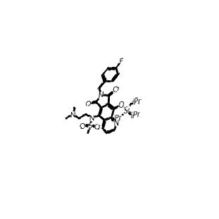 CC(C)[Si](Oc1c2c(c(N(CCN(C)C)S(C)(=O)=O)c3cccnc13)C(=O)N(Cc1ccc(F)cc1)C2=O)(C(C)C)C(C)C